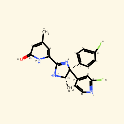 Cc1cc(C2=N[C@@](c3ccc(F)cc3)(c3ccnc(F)c3)[C@H](C)N2)[nH]c(=O)c1